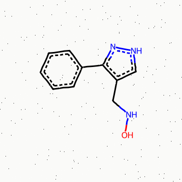 ONCc1c[nH]nc1-c1ccccc1